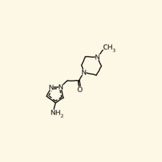 CN1CCN(C(=O)Cn2cc(N)cn2)CC1